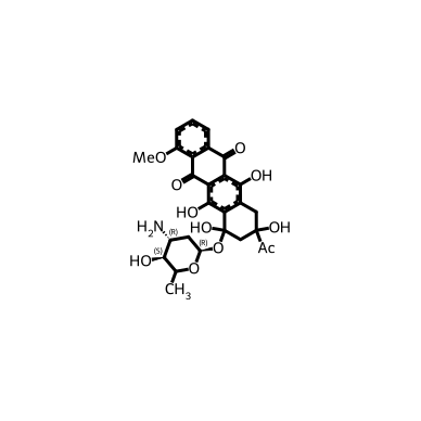 COc1cccc2c1C(=O)c1c(O)c3c(c(O)c1C2=O)CC(O)(C(C)=O)CC3(O)O[C@@H]1C[C@@H](N)[C@H](O)C(C)O1